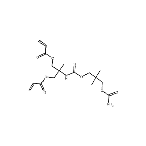 C=CC(=O)OCC(C)(COC(=O)C=C)NC(=O)OCC(C)(C)COC(N)=O